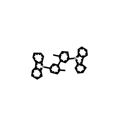 Cc1ccc(-n2c3ccccc3c3ccccc32)cc1-c1cc(-n2c3ccccc3c3ccccc32)ccc1C